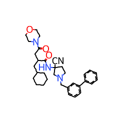 N#CC1(NC(=O)C(CC(=O)N2CCOCC2)CC2CCCCC2)CCN(Cc2cccc(-c3ccccc3)c2)C1